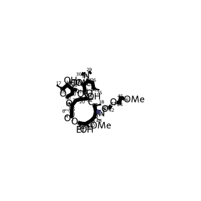 CC[C@H]1OC(=O)[C@H](C)[C@@H](O[C@H]2C[C@@](C)(OC)[C@@H](O)[C@H](C)O2)C[C@@H](O[C@@H]2O[C@H](C)C[C@H](N(C)C)[C@H]2O)[C@](C)(O)C[C@@H](C)/C(=N\OCOCCOC)[C@H](C)[C@@H](OC)[C@]1(C)O